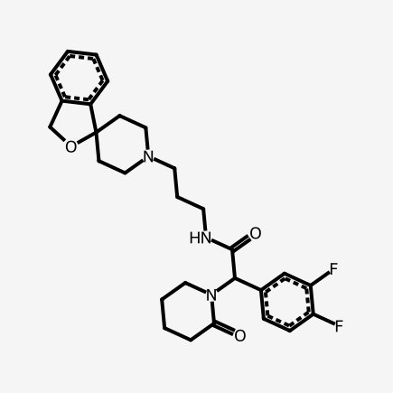 O=C(NCCCN1CCC2(CC1)OCc1ccccc12)C(c1ccc(F)c(F)c1)N1CCCCC1=O